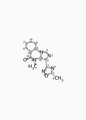 Cc1nc(-c2ncn3c4ccccc4c(=O)n(C)c23)no1